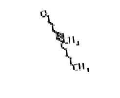 CBr.CCCCCCCCCCCCC=O